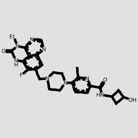 CCN1C(=O)Nc2c(F)c(CN3CCN(c4ccc(C(=O)NC5CC(O)C5)nc4C)CC3)cc3ncnc1c23